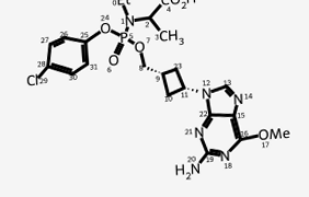 CCN(C(C)C(=O)O)P(=O)(OC[C@H]1C[C@@H](n2cnc3c(OC)nc(N)nc32)C1)Oc1ccc(Cl)cc1